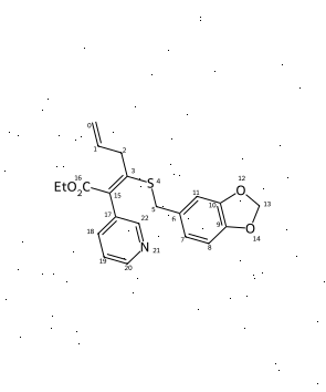 C=CCC(SCc1ccc2c(c1)OCO2)=C(C(=O)OCC)c1cccnc1